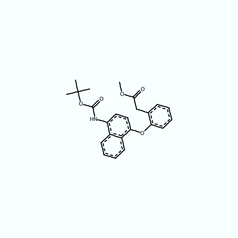 COC(=O)Cc1ccccc1Oc1ccc(NC(=O)OC(C)(C)C)c2ccccc12